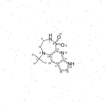 CC(C)(C)N1CCNS(=O)(=O)c2nc3[nH]ccc3cc21